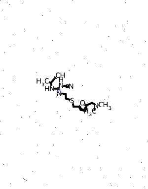 C#CC(C)N/C(=N/CCSCc1ccc(CN(C)C)o1)NC#N